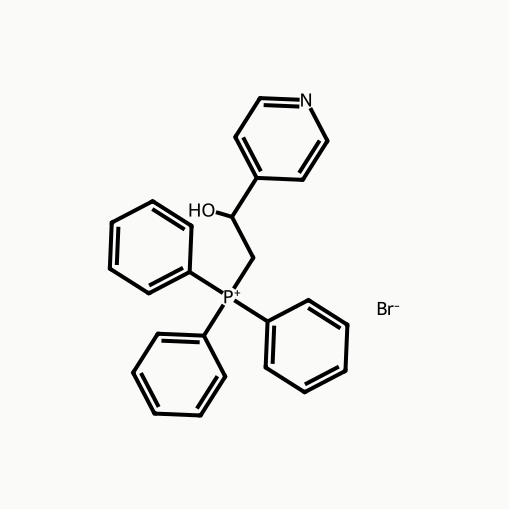 OC(C[P+](c1ccccc1)(c1ccccc1)c1ccccc1)c1ccncc1.[Br-]